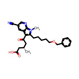 C[C@H](CC(=O)O)CC(=O)c1c(CCCCCOCc2ccccc2)n(C)c2ncc(C#N)cc12